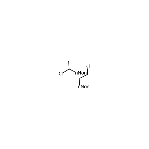 CCCCCCCCCC(C)Cl.CCCCCCCCCCCCl